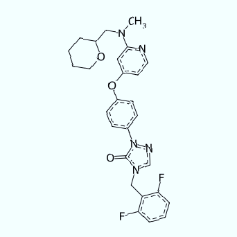 CN(CC1CCCCO1)c1cc(Oc2ccc(-n3ncn(Cc4c(F)cccc4F)c3=O)cc2)ccn1